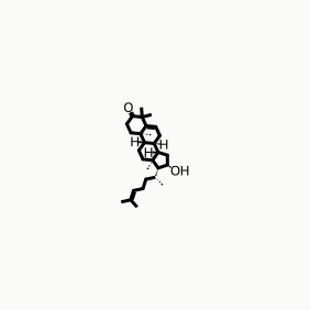 CC(C)=CCC[C@@H](C)[C@H]1[C@@H](O)C[C@H]2[C@@H]3CC=C4C(C)(C)C(=O)CC[C@]4(C)[C@H]3CC[C@]12C